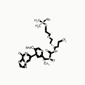 CCN(C(=O)N[C@H](CCOCCO[Si](C)(C)C(C)(C)C)CCC(F)(F)F)[C@H](C)c1cc(-c2cn3ncnc3c(Cl)n2)c(OC)cn1